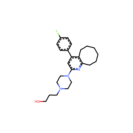 OCCCN1CCN(c2cc(-c3ccc(F)cc3)c3c(n2)CCCCCC3)CC1